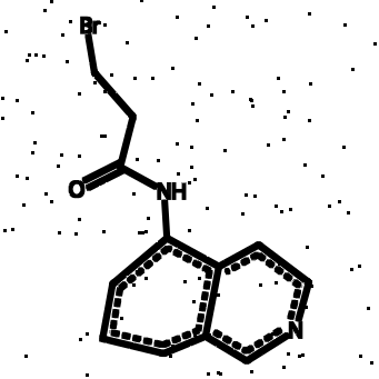 O=C(CCBr)Nc1cccc2cnccc12